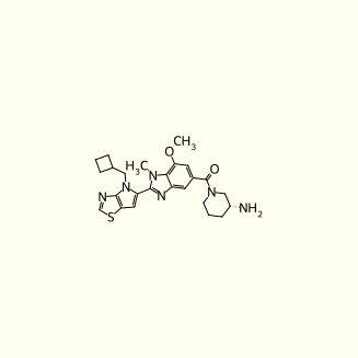 COc1cc(C(=O)N2CCC[C@@H](N)C2)cc2nc(-c3cc4scnc4n3CC3CCC3)n(C)c12